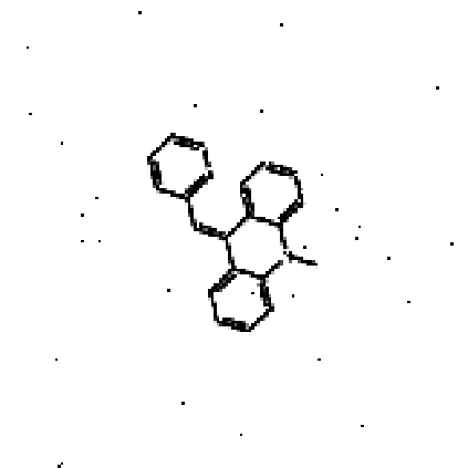 CN1c2ccccc2C(=Cc2ccccc2)c2ccccc21